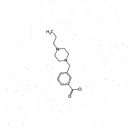 CCCN1CCN(Cc2cccc(C(=O)Cl)c2)CC1